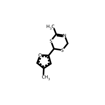 CC1=NCSC(c2cc(C)co2)S1